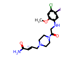 COc1cc(Cl)c(I)cc1NCC(=O)N1CCN(C/C=C/C(N)=O)CC1